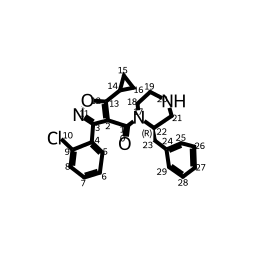 O=C(c1c(-c2ccccc2Cl)noc1C1CC1)N1CCNC[C@H]1Cc1ccccc1